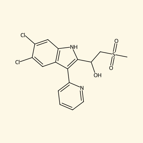 CS(=O)(=O)CC(O)c1[nH]c2cc(Cl)c(Cl)cc2c1-c1ccccn1